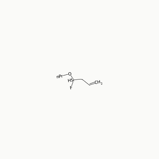 C=CC[SiH](F)OCCC